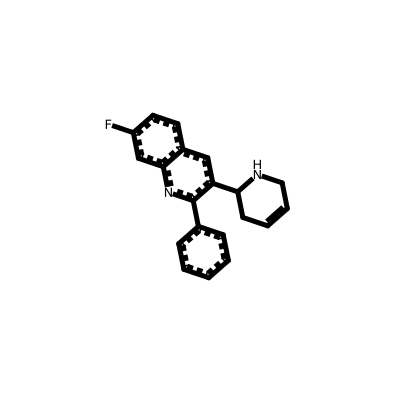 Fc1ccc2cc(C3CC=CCN3)c(-c3ccccc3)nc2c1